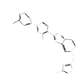 Cc1csc(Cn2ccc3nc(-c4ccc(-c5ccc(C)c(C)c5)cc4F)nc-3c2)n1